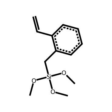 C=Cc1ccccc1C[Si](OC)(OC)OC